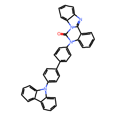 O=c1n(-c2ccc(-c3ccc(-n4c5ccccc5c5ccccc54)cc3)cc2)c2ccccc2c2nc3ccccc3n12